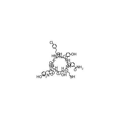 CNCCCC[C@@H]1NC(=O)[C@@H](Cc2ccc(C(N)=O)cc2)NC(=O)[C@H](Cc2ccc(O)cc2)NC(=O)[C@H](NC(=O)CCc2ccc(Cl)cc2)CSC(=O)NC[C@@H](C(=O)N[C@H](Cc2ccc(O)cc2)C(N)=O)NC(=O)C(C(C)O)NC1=O